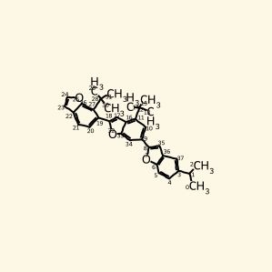 CC(C)c1ccc2oc(-c3cc(C(C)(C)C)c4cc(-c5ccc6ccoc6c5C(C)(C)C)oc4c3)cc2c1